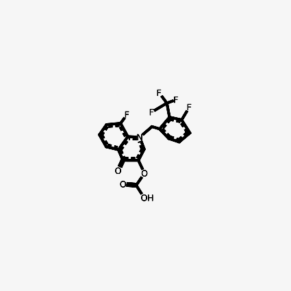 O=C(O)Oc1cn(Cc2cccc(F)c2C(F)(F)F)c2c(F)cccc2c1=O